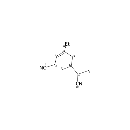 CCC(=CCC#N)CC(C)C(C)C#N